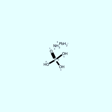 N.O=P(O)(O)O.[PbH2]